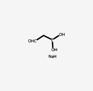 O=CCP(O)O.[NaH]